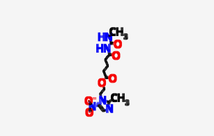 CNC(=O)NC(=O)CCCC(=O)OCCn1c([N+](=O)[O-])cnc1C